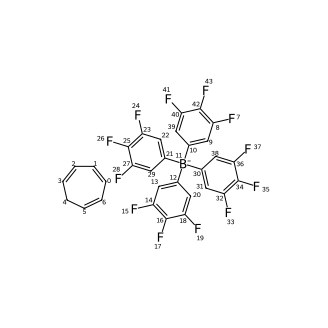 C1=CC=CCC=C1.Fc1cc([B-](c2cc(F)c(F)c(F)c2)(c2cc(F)c(F)c(F)c2)c2cc(F)c(F)c(F)c2)cc(F)c1F